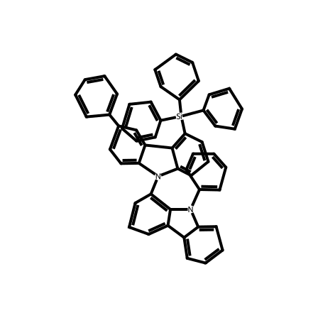 c1ccc(-c2ccc3c(c2)c2c([Si](c4ccccc4)(c4ccccc4)c4ccccc4)cccc2n3-c2cccc3c4ccccc4n(-c4ccccc4)c23)cc1